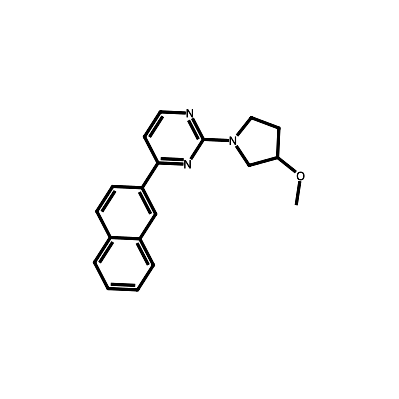 COC1CCN(c2nccc(-c3ccc4ccccc4c3)n2)C1